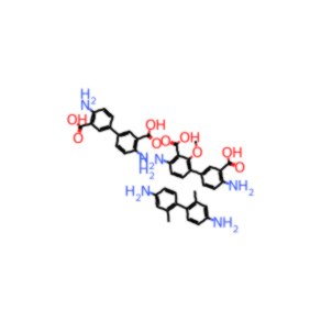 COc1c(-c2ccc(N)c(C(=O)O)c2)ccc(N)c1C(=O)O.Cc1cc(N)ccc1-c1ccc(N)cc1C.Nc1ccc(-c2ccc(N)c(C(=O)O)c2)cc1C(=O)O